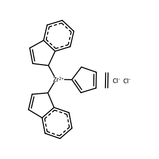 C1=CC[C]([Zr+2]([CH]2C=Cc3ccccc32)[CH]2C=Cc3ccccc32)=C1.C=C.[Cl-].[Cl-]